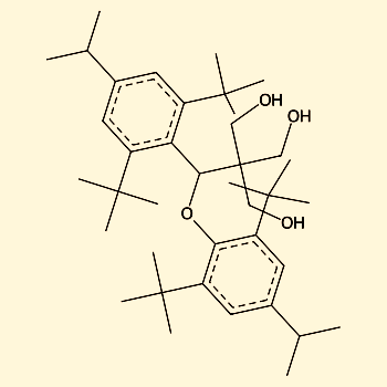 CC(C)c1cc(C(C)(C)C)c(OC(c2c(C(C)(C)C)cc(C(C)C)cc2C(C)(C)C)C(CO)(CO)CO)c(C(C)(C)C)c1